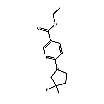 CCOC(=O)c1ccc(N2CCC(F)(F)C2)nc1